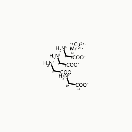 NCC(=O)[O-].NCC(=O)[O-].NCC(=O)[O-].NCC(=O)[O-].[Cu+2].[Mn+2]